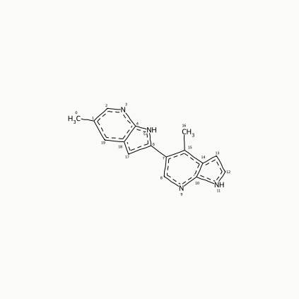 Cc1cnc2[nH]c(-c3cnc4[nH]ccc4c3C)cc2c1